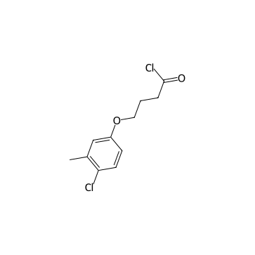 Cc1cc(OCCCC(=O)Cl)ccc1Cl